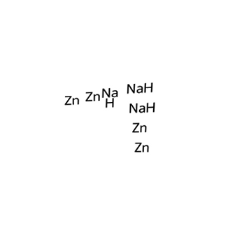 [NaH].[NaH].[NaH].[Zn].[Zn].[Zn].[Zn]